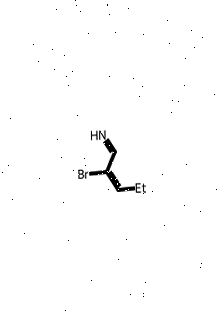 CC/C=C(/Br)C=N